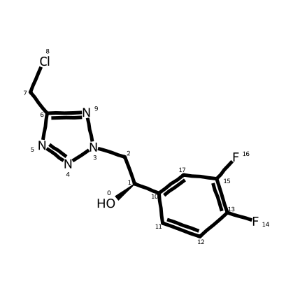 O[C@@H](Cn1nnc(CCl)n1)c1ccc(F)c(F)c1